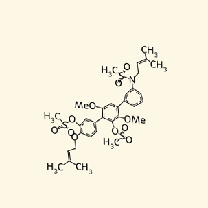 COc1cc(-c2cccc(N(CC=C(C)C)S(C)(=O)=O)c2)c(OC)c(OS(C)(=O)=O)c1-c1ccc(OCC=C(C)C)c(OS(C)(=O)=O)c1